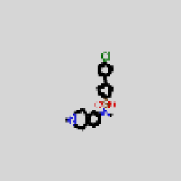 CN1CCc2ccc(N(C)S(=O)(=O)c3ccc(-c4ccc(Cl)cc4)cc3)cc2CC1